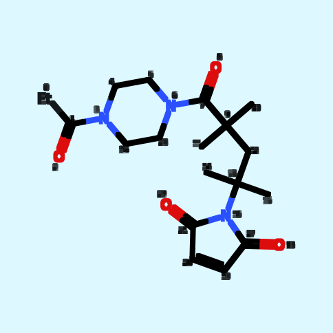 CCC(=O)N1CCN(C(=O)C(C)(C)CC(C)(C)N2C(=O)C=CC2=O)CC1